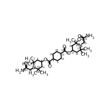 CC1(C)CC(OC(=O)C2CCC(C(=O)OC3CC(C)(C)N(CC(N)=O)C(C)(C)C3)CC2)CC(C)(C)N1CC(N)=O